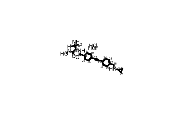 CC(C)(N)[C@H](NC(=O)c1ccc(C#Cc2ccc(CNC3CC3)cc2)cc1)C(=O)NO.Cl.Cl